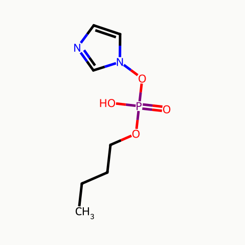 CCCCOP(=O)(O)On1ccnc1